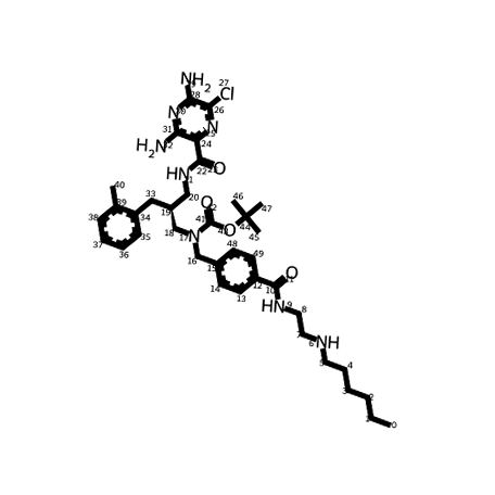 CCCCCCNCCNC(=O)c1ccc(CN(C[C@H](CNC(=O)c2nc(Cl)c(N)nc2N)Cc2ccccc2C)C(=O)OC(C)(C)C)cc1